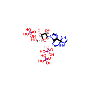 CN(C)C1(N)NC=Nc2c1ncn2[C@@H]1O[C@H](CO)[C@@H](O)[C@H]1O.O=P(O)(O)O.O=P(O)(O)O.O=P(O)(O)O